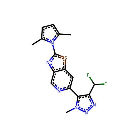 Cc1ccc(C)n1-c1nc2cnc(-c3c(C(F)F)nnn3C)cc2s1